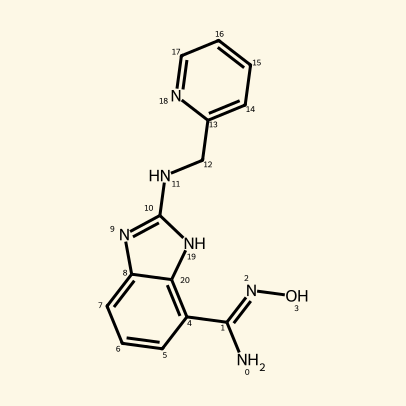 NC(=NO)c1cccc2nc(NCc3ccccn3)[nH]c12